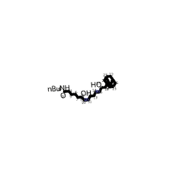 CCCCNC(=O)CCCCC(O)/C=C\CC/C=C/C(O)CC12CC3CC(CC(C3)C1)C2